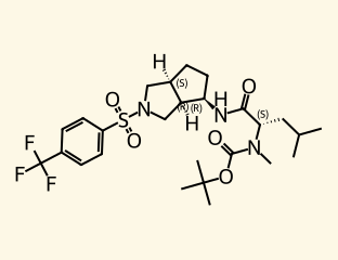 CC(C)C[C@@H](C(=O)N[C@@H]1CC[C@@H]2CN(S(=O)(=O)c3ccc(C(F)(F)F)cc3)C[C@@H]21)N(C)C(=O)OC(C)(C)C